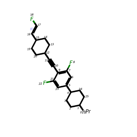 CCCC1CCC(c2cc(F)c(C#CC3CCC(/C=C/F)CC3)c(F)c2)CC1